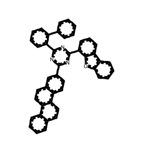 c1ccc(-c2ccccc2-c2nc(-c3ccc4c(ccc5c6ccccc6ccc45)c3)nc(-c3cccc4c3oc3ccccc34)n2)cc1